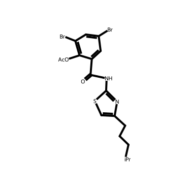 CC(=O)Oc1c(Br)cc(Br)cc1C(=O)Nc1nc(CCCC(C)C)cs1